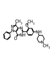 COc1cc(NC2CCN(C)CC2)ccc1-c1nc2c(C)nn(-c3ccccc3)c2c(=O)[nH]1